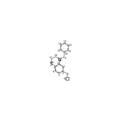 ClCc1ccc2c(c1)N(Cc1ccccc1)CCS2